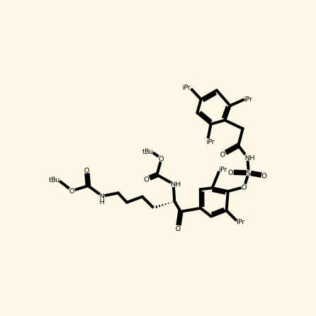 CC(C)c1cc(C(C)C)c(CC(=O)NS(=O)(=O)Oc2c(C(C)C)cc(C(=O)[C@H](CCCCNC(=O)OC(C)(C)C)NC(=O)OC(C)(C)C)cc2C(C)C)c(C(C)C)c1